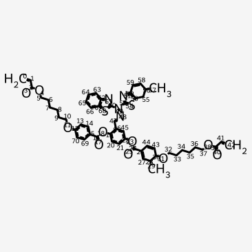 C=CC(=O)OCCCCCCOc1ccc(C(=O)Oc2ccc(OC(=O)C3=CC(C)C(OCCCCCCOC(=O)C=C)C=C3)cc2/C=N/N(c2nc3c(s2)CC(C)C=C3)c2nc3ccccc3s2)cc1